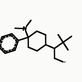 [CH2]CC(C1CCC(c2ccccc2)(N(C)C)CC1)C(C)(C)C